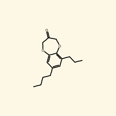 CCCCc1cc(CCC)c2c(c1)OCC(=O)CO2